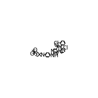 CS(=O)(=O)N1CCC2(CN(c3ccc(Nc4ncc5c(=O)n(-c6c(Cl)cccc6Cl)c6nccn6c5n4)cc3)C2)C1